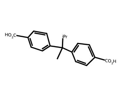 CC(C)C(C)(c1ccc(C(=O)O)cc1)c1ccc(C(=O)O)cc1